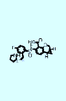 O=C(O)c1c(N[S+]([O-])c2ccc(F)cc2/C=C\[C@@H]2CCCN2)ccc2c1OC[C@@H]1C[C@H]21